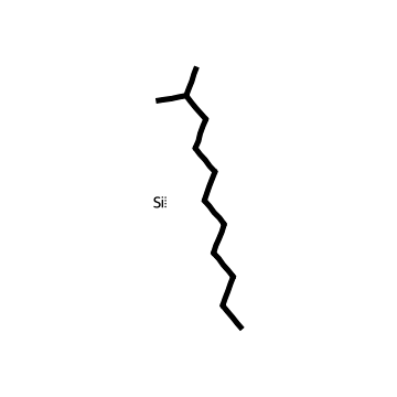 CCCCCCCCCC(C)C.[Si]